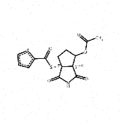 CC(=O)OC1CC[C@]2(SC(=O)c3cccs3)C(=O)NC(=O)[C@H]12